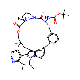 CCn1c(-c2cccnc2C(C)C)c2c3cc(ccc31)-c1cccc(c1)C[C@H](NC(=O)OC(C)(C)C)C(=O)N1CCC[C@H](N1)C(=O)OCC(C)(C)C2